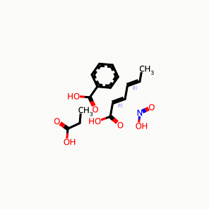 C/C=C/C=C/C(=O)O.CCC(=O)O.O=C(O)c1ccccc1.O=NO